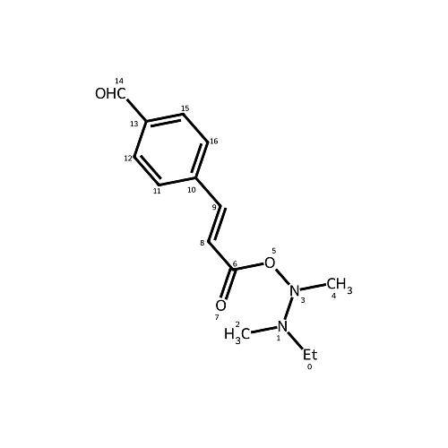 CCN(C)N(C)OC(=O)C=Cc1ccc(C=O)cc1